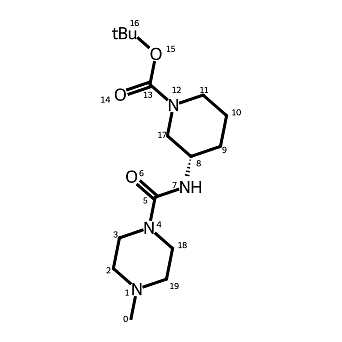 CN1CCN(C(=O)N[C@H]2CCCN(C(=O)OC(C)(C)C)C2)CC1